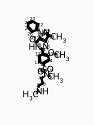 CNCCCN(C)S(=O)(=O)c1ccc(-c2nc3c(C)nn(-c4ccccc4)c3c(=O)[nH]2)c(OC)c1